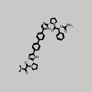 CN(C)C(=O)C(=O)N1CCC[C@H]1c1ncc(-c2ccc(-c3ccc(-c4cnc([C@@H]5CCCN5C(=O)[C@H](OC(N)=O)c5ccccc5)[nH]4)cc3)cc2)[nH]1